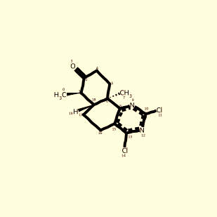 C[C@H]1C(=O)CC[C@@]2(C)c3nc(Cl)nc(Cl)c3CC[C@H]12